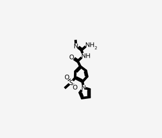 CN=C(N)NC(=O)c1ccc(-n2cccc2)c(S(C)(=O)=O)c1